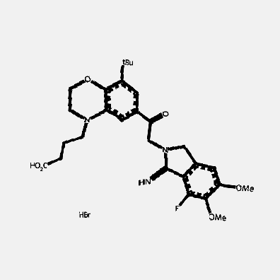 Br.COc1cc2c(c(F)c1OC)C(=N)N(CC(=O)c1cc3c(c(C(C)(C)C)c1)OCCN3CCCC(=O)O)C2